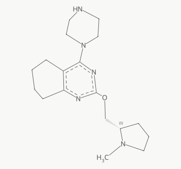 CN1CCC[C@H]1COc1nc2c(c(N3CCNCC3)n1)CCCC2